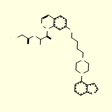 CC(C)C(NC(=O)CN)C(=O)N1OC=Cc2ccc(OCCCCN3CCN(c4cccc5sccc45)CC3)cc21